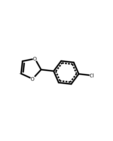 Clc1ccc(C2O[C]=CO2)cc1